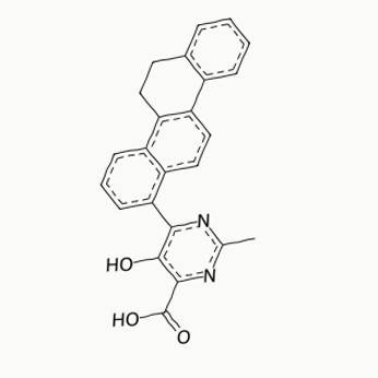 Cc1nc(C(=O)O)c(O)c(-c2cccc3c4c(ccc23)-c2ccccc2CC4)n1